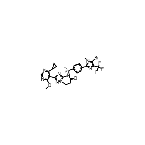 COc1ncnc(C2CC2)c1-c1nc2n(n1)CCC(=O)N2[C@H](C)c1ccc(-c2nc(C(F)(F)F)c(Br)n2C)cc1